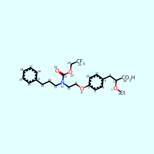 CCOC(Cc1ccc(OCCN(CCCc2ccccc2)C(=O)OCC(F)(F)F)cc1)C(=O)O